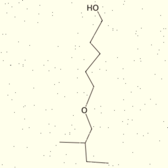 CCC(C)COCCCCCO